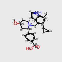 CO[C@H]1CCN(Cc2c(C3CC3)cc(C)c3[nH]ccc23)[C@H](c2ccc(C(=O)O)cc2)C1